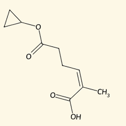 CC(=CCCC(=O)OC1CC1)C(=O)O